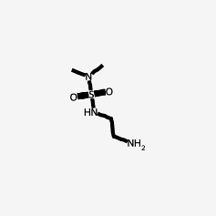 CN(C)S(=O)(=O)NCCN